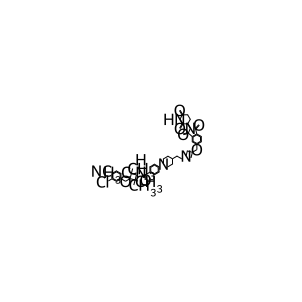 CC1(C)C(NC(=O)c2ccc(N3CCC(CCN4CC(Oc5ccc6c(c5)C(=O)N(C5CCC(=O)NC5=O)C6=O)C4)CC3)cc2)C(C)(C)C1Oc1ccc(C#N)c(Cl)c1